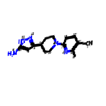 Cc1nc(N2CCC(c3cc(N)[nH]n3)CC2)ccc1C#N